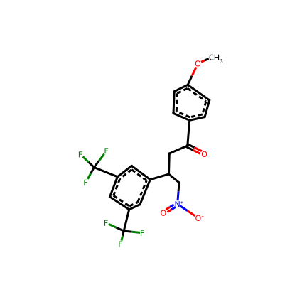 COc1ccc(C(=O)CC(C[N+](=O)[O-])c2cc(C(F)(F)F)cc(C(F)(F)F)c2)cc1